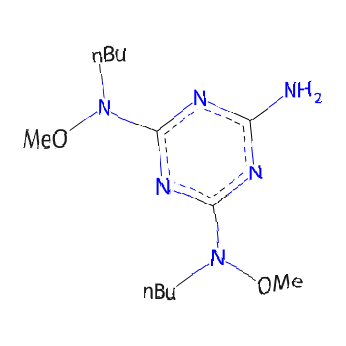 CCCCN(OC)c1nc(N)nc(N(CCCC)OC)n1